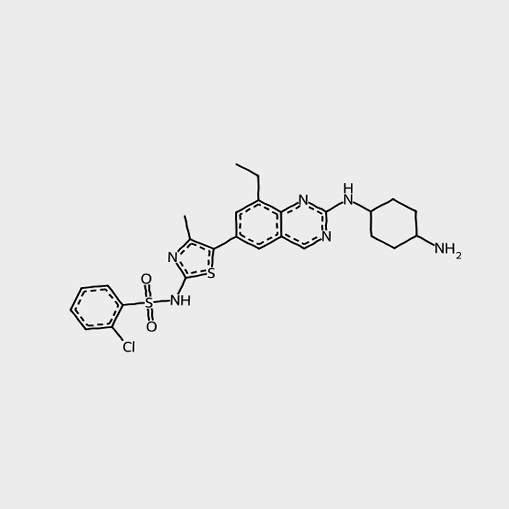 CCc1cc(-c2sc(NS(=O)(=O)c3ccccc3Cl)nc2C)cc2cnc(NC3CCC(N)CC3)nc12